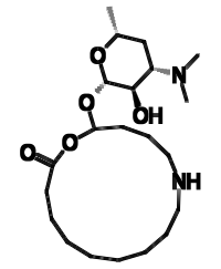 C[C@@H]1C[C@H](N(C)C)[C@@H](O)[C@H](OC2CCCNCCCCCCCCC(=O)O2)O1